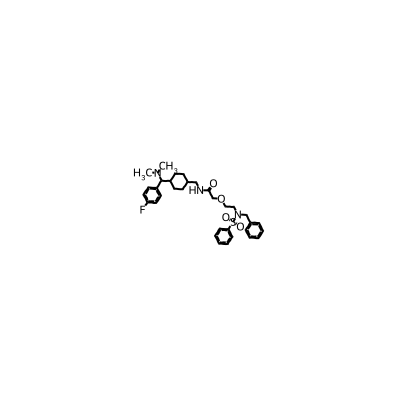 CN(C)C(c1ccc(F)cc1)C1CCC(CNC(=O)COCCN(Cc2ccccc2)S(=O)(=O)c2ccccc2)CC1